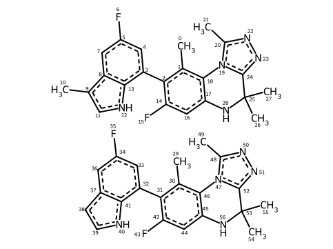 Cc1c(-c2cc(F)cc3c(C)c[nH]c23)c(F)cc2c1-n1c(C)nnc1C(C)(C)N2.Cc1c(-c2cc(F)cc3cc[nH]c23)c(F)cc2c1-n1c(C)nnc1C(C)(C)N2